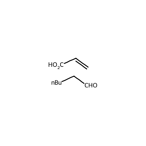 C=CC(=O)O.CCCCCC=O